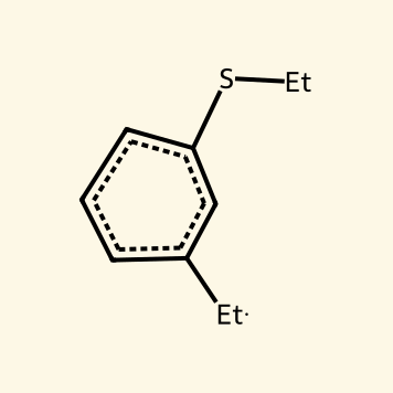 C[CH]c1cccc(SCC)c1